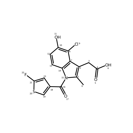 Cc1c(CC(=O)O)c2c(Cl)c(O)ccc2n1C(=O)c1csc(F)c1